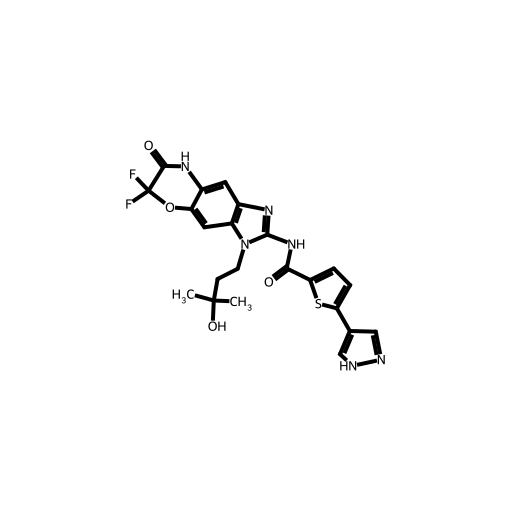 CC(C)(O)CCn1c(NC(=O)c2ccc(-c3cn[nH]c3)s2)nc2cc3c(cc21)OC(F)(F)C(=O)N3